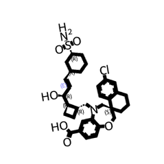 NS(=O)(=O)[C@@H]1CCC[C@@H](/C=C/[C@H](O)[C@@H]2CC[C@H]2CN2C[C@@]3(CCCc4cc(Cl)ccc43)COc3ccc(C(=O)O)cc32)C1